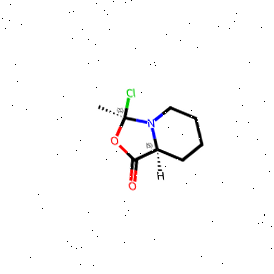 C[C@@]1(Cl)OC(=O)[C@@H]2CCCCN21